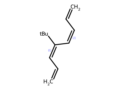 C=C/C=C\C(=C/C=C)C(C)(C)C